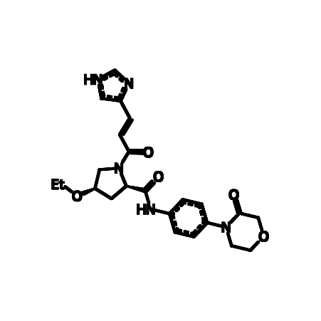 CCO[C@@H]1C[C@H](C(=O)Nc2ccc(N3CCOCC3=O)cc2)N(C(=O)/C=C/c2c[nH]cn2)C1